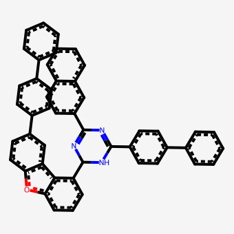 c1ccc(-c2ccc(C3=NC(c4ccc5ccccc5c4)=NC(c4cccc5oc6ccc(-c7ccc(-c8ccccc8)cc7)cc6c45)N3)cc2)cc1